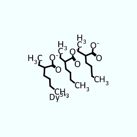 CCCCC(CC)C(=O)[O-].CCCCC(CC)C(=O)[O-].CCCCC(CC)C(=O)[O-].[Dy+3]